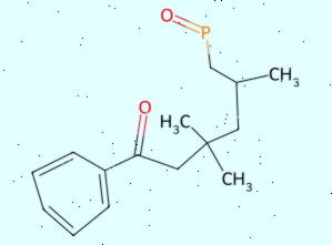 CC(CP=O)CC(C)(C)CC(=O)c1ccccc1